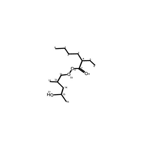 CCCCC(CC)C(=O)OOCC(C)CC(C)O